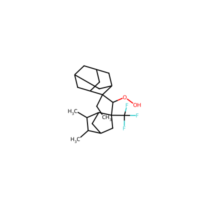 CCC1(C(OO)C2(C(F)(F)F)CC3CC2C(C)C3C)C2CC3CC(C2)CC1C3